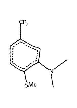 CSc1ccc(C(F)(F)F)cc1N(C)C